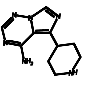 Nc1ncnn2cnc(C3CCNCC3)c12